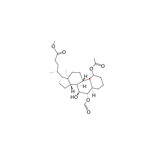 COC(=O)CC[C@@H](C)[C@H]1CC[C@H]2[C@@H]3[C@H](O)[C@@H](OC=O)[C@@H]4CCCC(OC(C)=O)[C@]4(C)[C@H]3CC[C@]12C